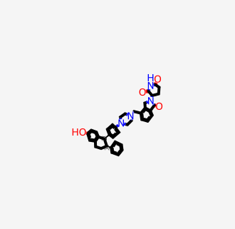 O=C1CCC(N2Cc3c(CN4CCN(c5ccc([C@@H]6c7ccc(O)cc7CC[C@@H]6c6ccccc6)cc5)CC4)cccc3C2=O)C(=O)N1